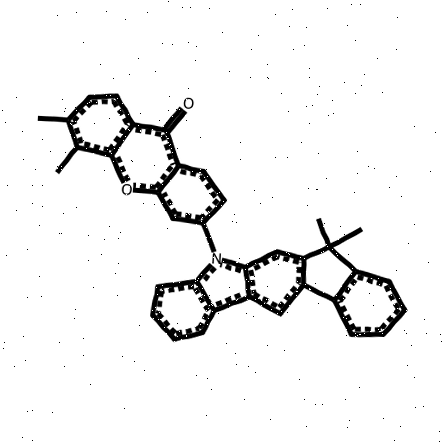 Cc1ccc2c(=O)c3ccc(-n4c5ccccc5c5cc6c(cc54)C(C)(C)c4ccccc4-6)cc3oc2c1C